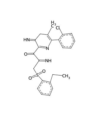 CCc1ccccc1S(=O)(=O)CC(=N)C(=O)C1=NC(c2ccccc2Cl)=C(C)CC1=N